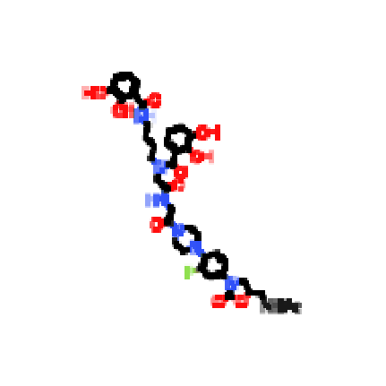 CC(=O)NCC1CN(c2ccc(N3CCN(C(=O)CNC(=O)CN(CCCCNC(=O)c4cccc(O)c4O)C(=O)c4cccc(O)c4O)CC3)c(F)c2)C(=O)O1